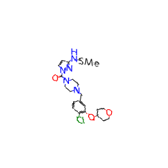 CSNc1ccn(C(=O)N2CCN(Cc3ccc(Cl)c(OC4CCOCC4)c3)CC2)n1